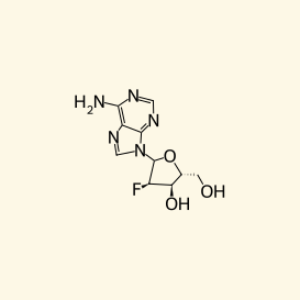 Nc1ncnc2c1ncn2C1O[C@H](CO)[C@@H](O)[C@H]1F